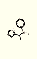 CC([SiH2]c1ccccc1)c1cccs1